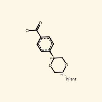 CCCCC[C@@H]1CO[C@@H](c2ccc(C(=O)Cl)cc2)CO1